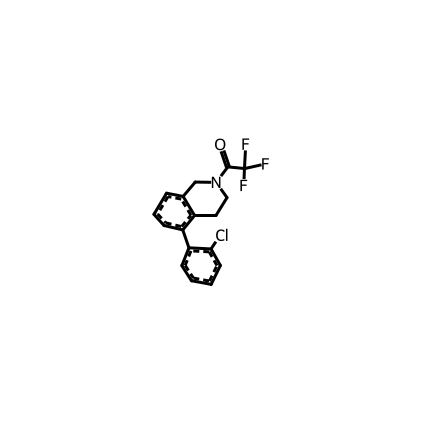 O=C(N1CCc2c(cccc2-c2ccccc2Cl)C1)C(F)(F)F